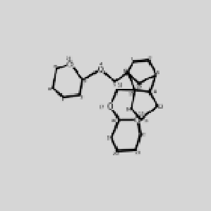 C1CCC(OCC23CCC(C2)C2CCCC23COC2CCCCO2)OC1